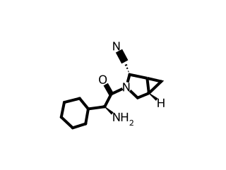 N#C[C@@H]1C2C[C@@H]2CN1C(=O)[C@@H](N)C1CCCCC1